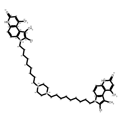 CCc1c(C)c2c3c(C(F)(F)F)cc(=O)[nH]c3ccc2n1CCCCCCCCCN1CCN(CCCCCCCCCn2c(CC)c(C)c3c4c(C(F)(F)F)cc(=O)[nH]c4ccc32)CC1